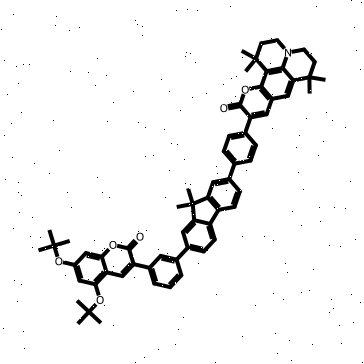 CC(C)(C)Oc1cc(OC(C)(C)C)c2cc(-c3cccc(-c4ccc5c(c4)C(C)(C)c4cc(-c6ccc(-c7cc8cc9c%10c(c8oc7=O)C(C)(C)CCN%10CCC9(C)C)cc6)ccc4-5)c3)c(=O)oc2c1